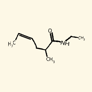 C/C=C\CC(C)C(=O)NCC